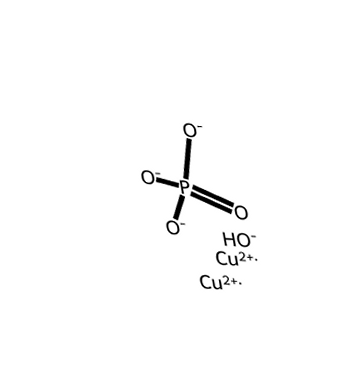 O=P([O-])([O-])[O-].[Cu+2].[Cu+2].[OH-]